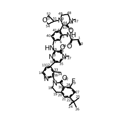 C=CC(=O)Nc1cc(Nc2nc(-c3ccnc(N4CCc5cc(C(C)(C)C)cc(F)c5C4=O)c3C)cn(C)c2=O)ccc1C1C(=O)N(C)CCN1C1COC1